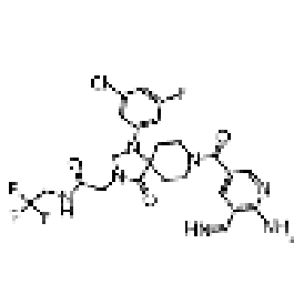 N=Cc1cc(C(=O)N2CCC3(CC2)C(=O)N(CC(=O)NCC(F)(F)F)CN3c2cc(F)cc(Cl)c2)cnc1N